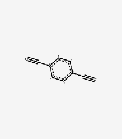 [C]#Cc1ccc(C#C)cc1